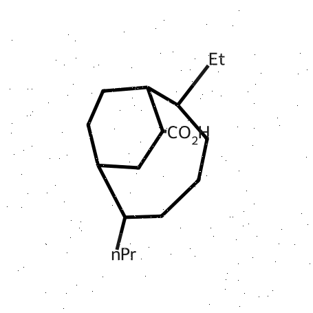 CCCC1CCCC(CC)C2CCC1CC2C(=O)O